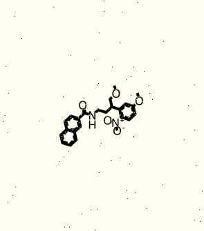 COCC(CCNC(=O)c1ccc2ccccc2c1)c1cc(OC)ccc1[N+](=O)[O-]